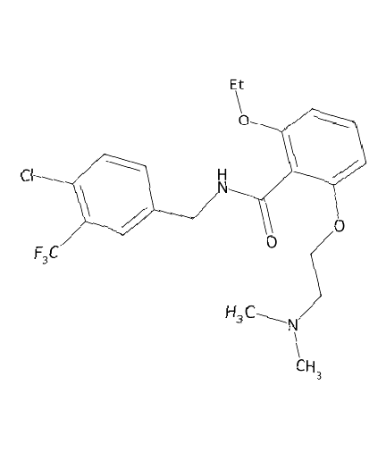 CCOc1cccc(OCCN(C)C)c1C(=O)NCc1ccc(Cl)c(C(F)(F)F)c1